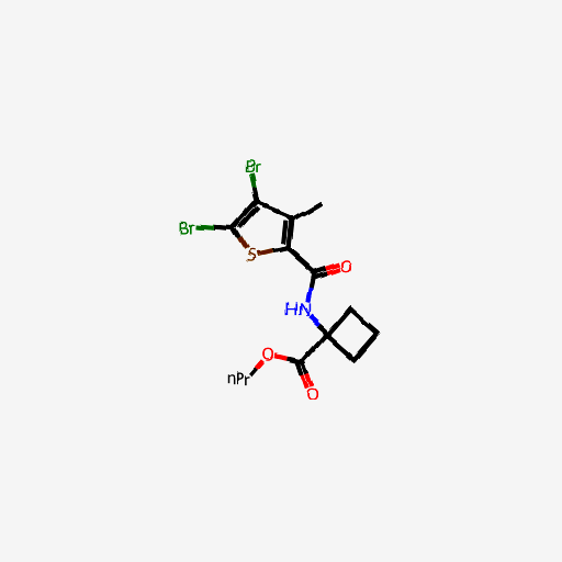 CCCOC(=O)C1(NC(=O)c2sc(Br)c(Br)c2C)CCC1